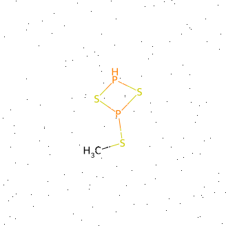 CSP1SPS1